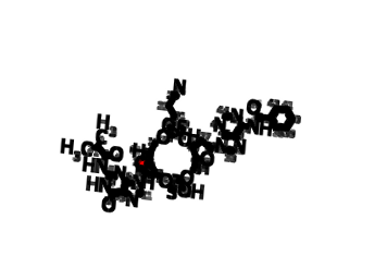 CC(C)C(=O)Nc1nc2c(ncn2[C@@H]2O[C@@H]3COP(=S)(OCCC#N)O[C@H]4C[C@H](n5cnc6c(NC(=O)c7ccccc7)ncnc65)O[C@@H]4COP(O)(=S)O[C@@H]2[C@@H]3F)c(=O)[nH]1